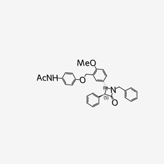 COc1ccc([C@H]2[C@H](c3ccccc3)C(=O)N2Cc2ccccc2)cc1COc1ccc(NC(C)=O)cc1